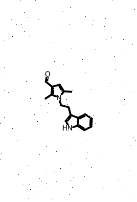 Cc1cc(C=O)c(C)n1CCc1c[nH]c2ccccc12